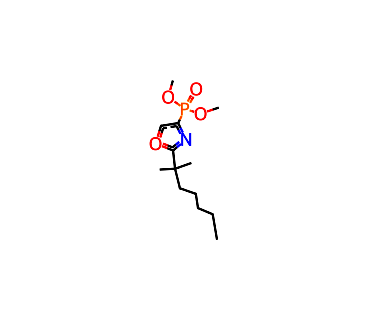 CCCCCC(C)(C)c1nc(P(=O)(OC)OC)co1